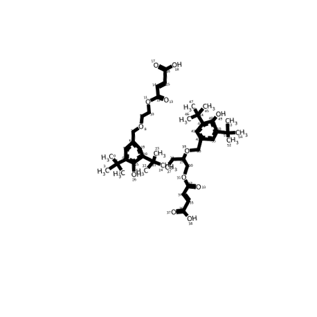 CC(C)(C)c1cc(COCCOC(=O)C=CC(=O)O)cc(C(C)(C)C)c1O.CCC(COC(=O)C=CC(=O)O)OCc1cc(C(C)(C)C)c(O)c(C(C)(C)C)c1